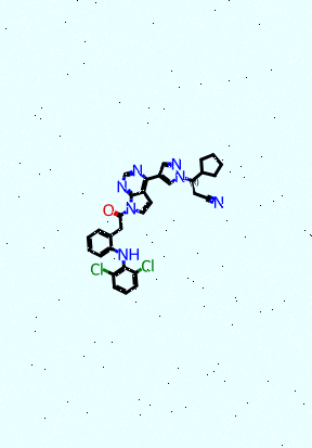 N#CC[C@H](C1CCCC1)n1cc(-c2ncnc3c2ccn3C(=O)Cc2ccccc2Nc2c(Cl)cccc2Cl)cn1